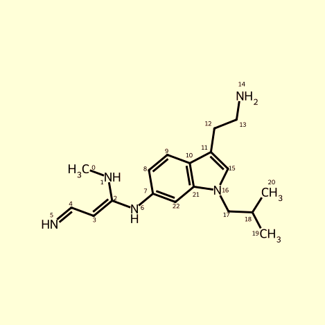 CN/C(=C\C=N)Nc1ccc2c(CCN)cn(CC(C)C)c2c1